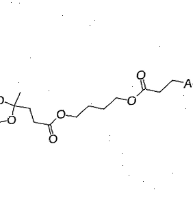 CC(=O)CCC(=O)OCCCCOC(=O)CCC1(C)OCC(C)O1